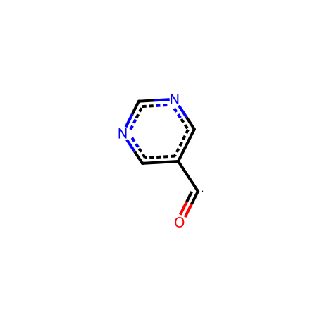 O=[C]c1cncnc1